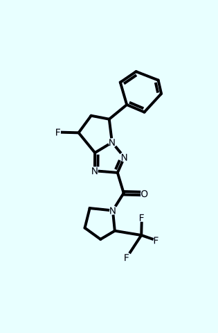 O=C(c1nc2n(n1)C(c1ccccc1)CC2F)N1CCCC1C(F)(F)F